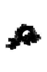 COc1c(N2CCC(N3CCN(/N=C/c4c5c(O)c6c(O)c(C)c7c(c6c4O)C(=O)[C@@](C)(O/C=C/[C@H](OC)[C@@H](C)[C@@H](OC(C)=O)[C@H](C)[C@H](O)[C@H](C)[C@@H](O)[C@@H](C)/C=C/C=C(/C)C(=O)N5)O7)CC3)C2)c(F)cc2c(=O)c(C(=O)O)cn(C3CC3)c12